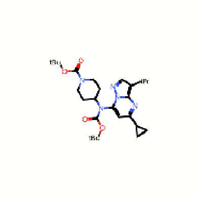 CC(C)c1cnn2c(N(C(=O)OC(C)(C)C)C3CCN(C(=O)OC(C)(C)C)CC3)cc(C3CC3)nc12